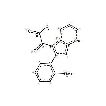 COc1ccccc1-c1cc2ccccn2c1C(=O)C(=O)Cl